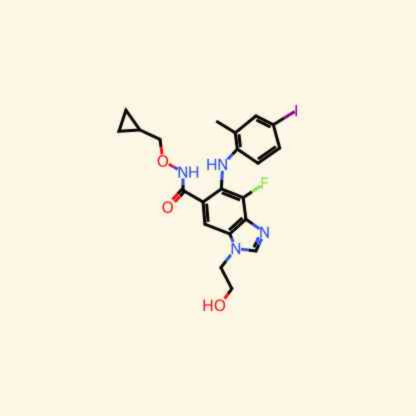 Cc1cc(I)ccc1Nc1c(C(=O)NOCC2CC2)cc2c(ncn2CCO)c1F